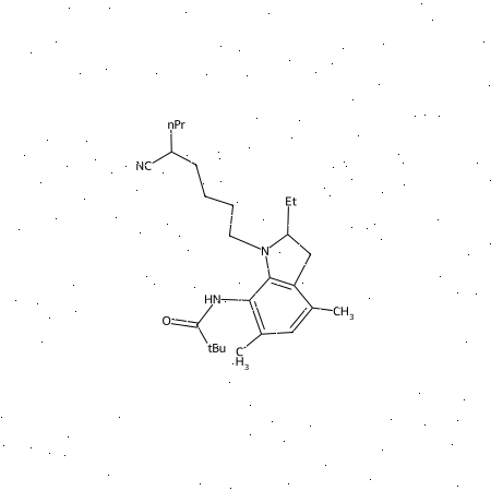 CCCC(C#N)CCCCN1c2c(c(C)cc(C)c2NC(=O)C(C)(C)C)CC1CC